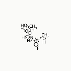 CC(O)CCn1nc(-c2cnc3[nH]cc(OC(=O)NC(C)(C)CO)c3n2)c2ccc(F)cc21